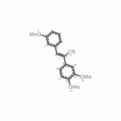 COc1[c]ccc(/C=C(\C#N)c2ccc(OC)c(OC)c2)c1